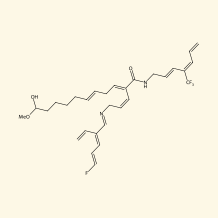 C=C/C=C(\C=C\CNC(=O)C(/C=C\C/N=C/C(C=C)=C/C=C/F)=C/C/C=C/CCCCC(O)OC)C(F)(F)F